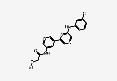 CCOCC(=O)Nc1cncc(-c2cncc(Nc3cccc(Cl)c3)n2)c1